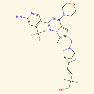 Cc1c(CN2CC3CC2CC3/C=C/C(C)(C)CO)cc2c(N3CCOCC3)nc(-c3cnc(N)cc3C(F)(F)F)nn12